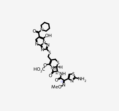 CO/N=C(\C(=O)N[C@@H]1C(=O)N2C(OC(=O)O)=C(CSc3nc4ncc(C(=O)N5CCCCC5)c(O)n4n3)CS[C@H]12)c1csc(N)n1